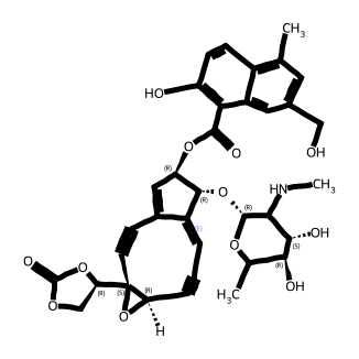 CNC1[C@@H](O[C@@H]2/C3=C/C#C[C@H]4O[C@@]4([C@H]4COC(=O)O4)C#CC3=C[C@H]2OC(=O)c2c(O)ccc3c(C)cc(CO)cc23)OC(C)[C@H](O)[C@H]1O